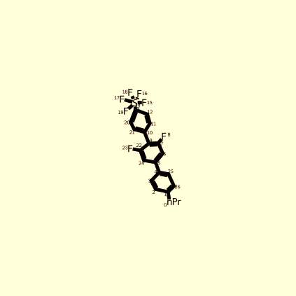 CCCc1ccc(-c2cc(F)c(-c3ccc(S(F)(F)(F)(F)F)cc3)c(F)c2)cc1